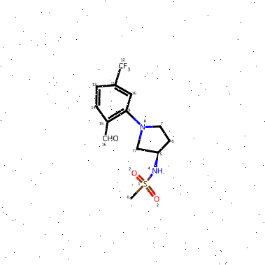 CS(=O)(=O)N[C@@H]1CCN(c2cc(C(F)(F)F)ccc2C=O)C1